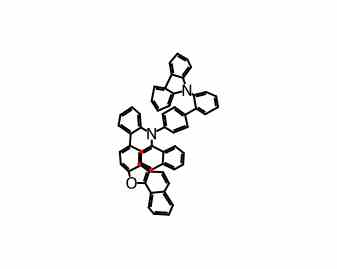 c1ccc(N(c2ccc(-c3ccccc3-n3c4ccccc4c4ccccc43)cc2)c2cccc3ccccc23)c(-c2ccc3oc4c5ccccc5ccc4c3c2)c1